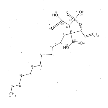 C=CCC(CCCCCCCCCCCC)(C(=O)O)C(C(=O)O)S(=O)(=O)O